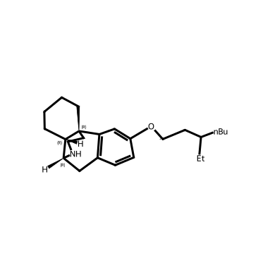 CCCCC(CC)C[CH]Oc1ccc2c(c1)[C@@]13CCCC[C@H]1[C@@H](C2)NCC3